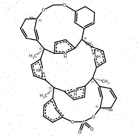 C[C@@]12C3=CCCC(=C3)OCO[C@H]3C=C(C=CC3)[C@@](C)(c3ccc1[nH]3)c1ccc([nH]1)[C@]1(C)c3cccc(c3)OS(=O)(=O)O[C@H]3C=C(C=CC3)[C@](C)(c3ccc2[nH]3)c2ccc1[nH]2